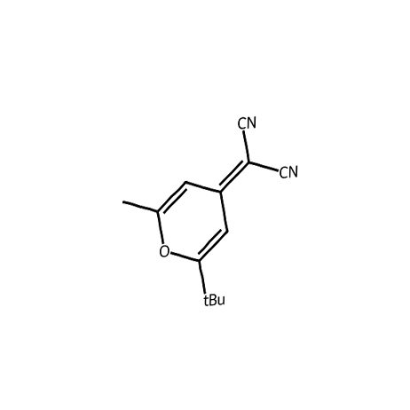 CC1=CC(=C(C#N)C#N)C=C(C(C)(C)C)O1